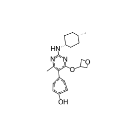 Cc1nc(N[C@H]2CC[C@@H](C)CC2)nc(OC2COC2)c1-c1ccc(O)cc1